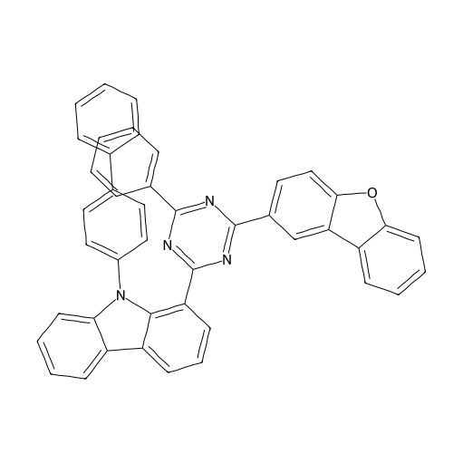 c1ccc(-c2ccc(-n3c4ccccc4c4cccc(-c5nc(-c6ccccc6)nc(-c6ccc7oc8ccccc8c7c6)n5)c43)cc2)cc1